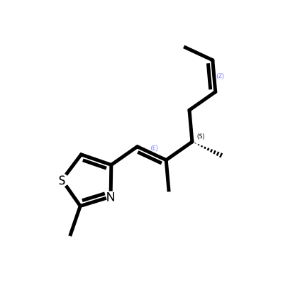 C/C=C\C[C@H](C)/C(C)=C/c1csc(C)n1